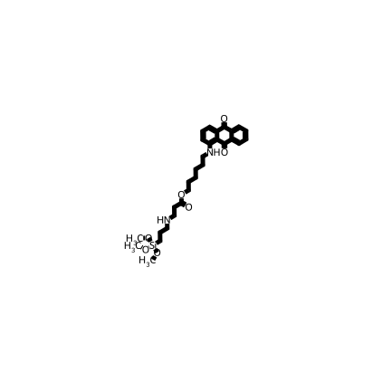 CO[Si](CCCNCCC(=O)OCCCCCCNc1cccc2c1C(=O)c1ccccc1C2=O)(OC)OC